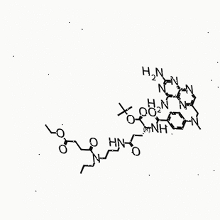 CCCN(CCCNC(=O)CC[C@@H](NC(=O)c1ccc(N(C)Cc2cnc3nc(N)nc(N)c3n2)cc1)C(=O)OC(C)(C)C)C(=O)CCC(=O)OCC